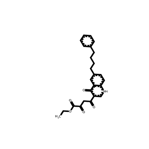 CCOC(=O)C(=O)CC(=O)c1c[nH]c2ccc(CCCCc3ccccc3)cc2c1=O